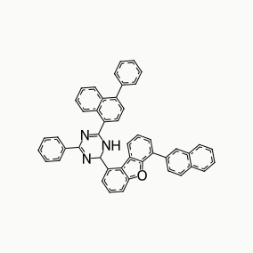 c1ccc(C2=NC(c3cccc4oc5c(-c6ccc7ccccc7c6)cccc5c34)NC(c3ccc(-c4ccccc4)c4ccccc34)=N2)cc1